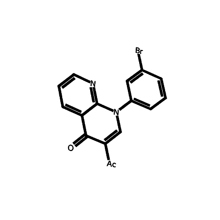 CC(=O)c1cn(-c2cccc(Br)c2)c2ncccc2c1=O